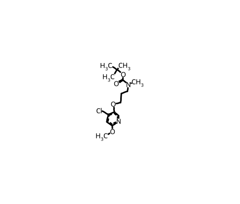 COc1cc(Cl)c(OCCCN(C)C(=O)OC(C)(C)C)cn1